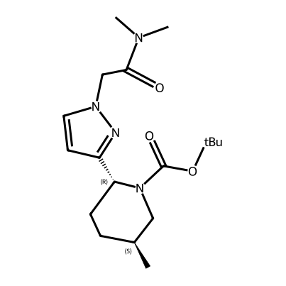 C[C@H]1CC[C@H](c2ccn(CC(=O)N(C)C)n2)N(C(=O)OC(C)(C)C)C1